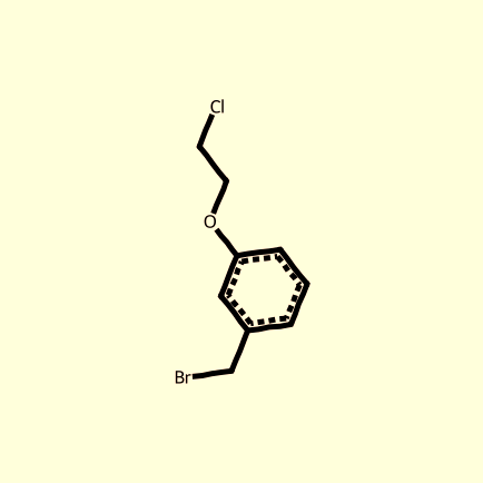 ClCCOc1cccc(CBr)c1